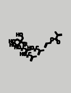 C=C(C)C(=O)O.C=C(C)C(=O)O.C=C(C)C(=O)O.C=CCOC(=O)C(=C)C.CCC(CO)(CO)CO